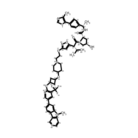 Cc1ncsc1-c1ccc([C@H](C)NC(=O)[C@@H]2C[C@@H](O)CN2C(=O)[C@@H](c2cc(OCCN3CCC(OC4CC(Oc5ncc(-c6ccc7c8cnccc8n(C)c7c6)cc5C(F)(F)F)C4)CC3)no2)C(C)C)cc1